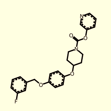 O=C(Oc1cccnc1)N1CCC(Oc2ccc(OCc3cccc(F)c3)cc2)CC1